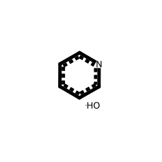 [OH].c1ccncc1